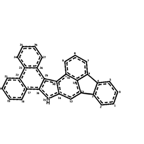 c1ccc2c(c1)-c1cccc3c1c-2cc1[nH]c2c4ccccc4c4ccccc4c2c13